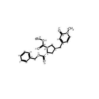 Cn1ccc(C[C@H]2C[C@H](C(=O)OCc3ccccc3)N(C(=O)OC(C)(C)C)C2)cc1=O